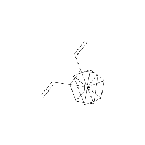 C=C[C]12[CH]3[CH]4[CH]5[C]1(C=C)[Fe]43521678[CH]2[CH]1[CH]6[CH]7[CH]28